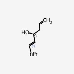 C=CC[C@H](O)/C=C/CCC